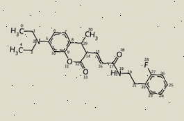 CCN(CC)c1ccc2c(c1)OC(=O)C(C=CC(=O)NCCc1ccccc1F)C2C